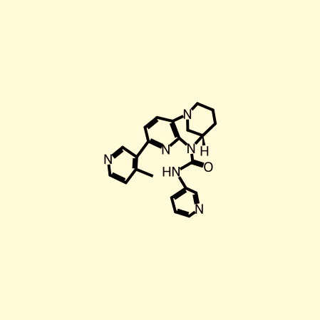 Cc1ccncc1-c1ccc2c(n1)N(C(=O)Nc1cccnc1)[C@H]1CCCN2C1